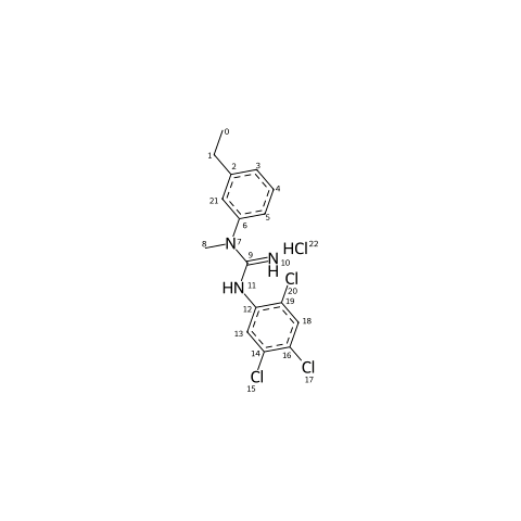 CCc1cccc(N(C)C(=N)Nc2cc(Cl)c(Cl)cc2Cl)c1.Cl